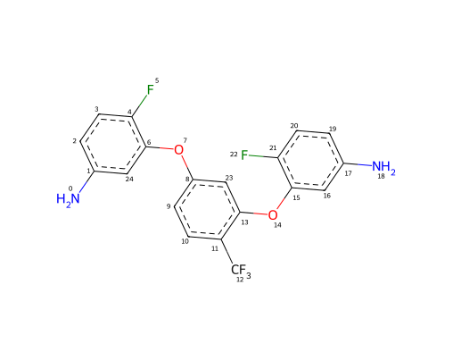 Nc1ccc(F)c(Oc2ccc(C(F)(F)F)c(Oc3cc(N)ccc3F)c2)c1